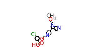 CCOCCn1cc(C2CCN(CCOc3cc(Cl)ccc3C(=O)O)CC2)c2ccncc21